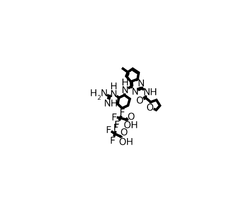 Cc1ccc2nc(NC(=O)C3CCCO3)nc(NC3CCCCC3NC(=N)N)c2c1.O=C(O)C(F)(F)F.O=C(O)C(F)(F)F